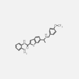 CC(NCc1ccc(OC(F)(F)F)cc1)c1ccc2cc(C(=O)Nc3ccccc3N)sc2c1